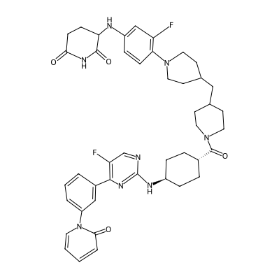 O=C1CCC(Nc2ccc(N3CCC(CC4CCN(C(=O)[C@H]5CC[C@H](Nc6ncc(F)c(-c7cccc(-n8ccccc8=O)c7)n6)CC5)CC4)CC3)c(F)c2)C(=O)N1